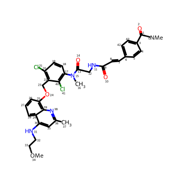 CNC(=O)c1ccc(C=CC(=O)NCC(=O)N(C)c2ccc(Cl)c(COc3cccc4c(NCCOC)cc(C)nc34)c2Cl)cc1